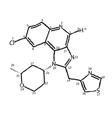 [2H]c1nc2ccc(Cl)cc2c2c1nc(Cc1cscn1)n2[C@@H]1CCO[C@H](C)C1